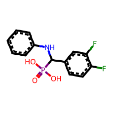 O=P(O)(O)C(Nc1ccccc1)c1ccc(F)c(F)c1